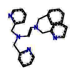 C(=CN(Cc1ccccn1)Cc1ccccn1)N(Cc1ccccc1)Cc1ccccn1